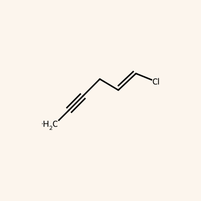 [CH2]C#CCC=CCl